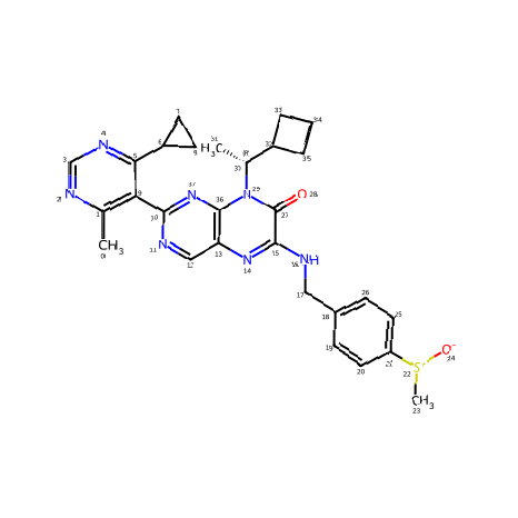 Cc1ncnc(C2CC2)c1-c1ncc2nc(NCc3ccc([S+](C)[O-])cc3)c(=O)n([C@H](C)C3CCC3)c2n1